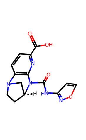 O=C(O)c1ccc2c(n1)N(C(=O)Nc1ccon1)[C@H]1CCN2C1